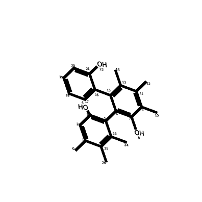 Cc1cc(O)c(-c2c(O)c(C)c(C)c(C)c2-c2ccccc2O)c(C)c1C